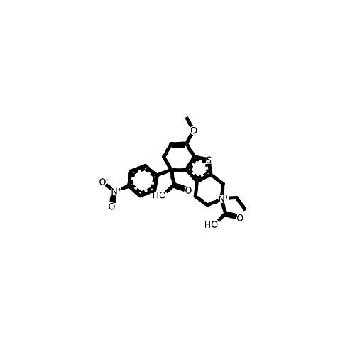 CC[N+]1(C(=O)O)CCc2c(sc3c2C(C(=O)O)(c2ccc([N+](=O)[O-])cc2)CC=C3OC)C1